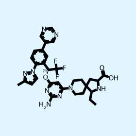 CCC1NC(C(=O)O)CC12CCN(c1cc(O[C@H](c3cc(-c4cncnc4)ccc3-n3ccc(C)n3)C(F)(F)F)nc(N)n1)CC2